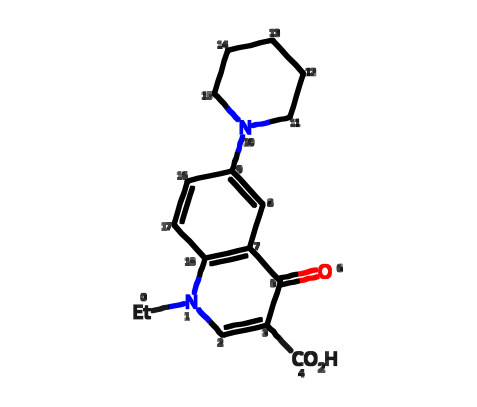 CCn1cc(C(=O)O)c(=O)c2cc(N3CCCCC3)ccc21